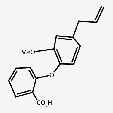 C=CCc1ccc(Oc2ccccc2C(=O)O)c(OC)c1